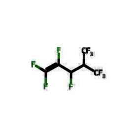 FC(F)=C(F)C(F)C(C(F)(F)F)C(F)(F)F